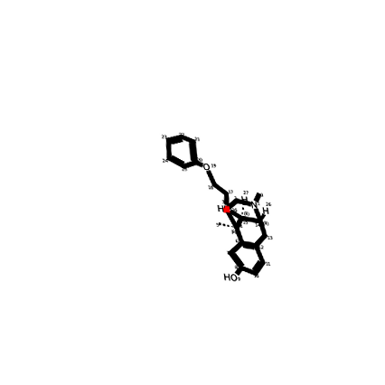 CN1CC[C@]2(C)c3cc(O)ccc3C[C@@H]1[C@@H]2NCCOc1ccccc1